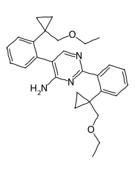 CCOCC1(c2ccccc2-c2ncc(-c3ccccc3C3(COCC)CC3)c(N)n2)CC1